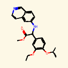 CCOc1cc(C(Nc2ccc3cnccc3c2)C(=O)OC)ccc1OC(C)C